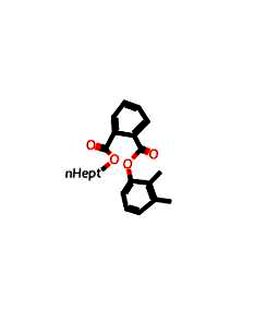 CCCCCCCOC(=O)c1ccccc1C(=O)Oc1cccc(C)c1C